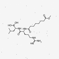 COC(=O)CCCCCCC(=O)N[C@@H](CCCNC(=N)N)C(=O)N[C@@H](CC(C)C)B(O)O